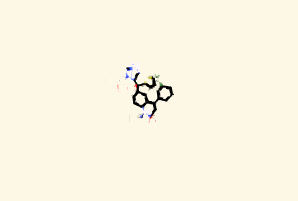 Cn1cncc1C(O)(c1ccc2c(c1)c(-c1cccc(Cl)c1)cc(=O)n2C)c1ccc(Cl)s1